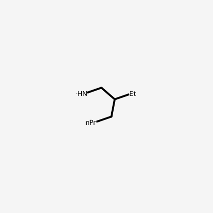 [CH2]CC(C[NH])CCCC